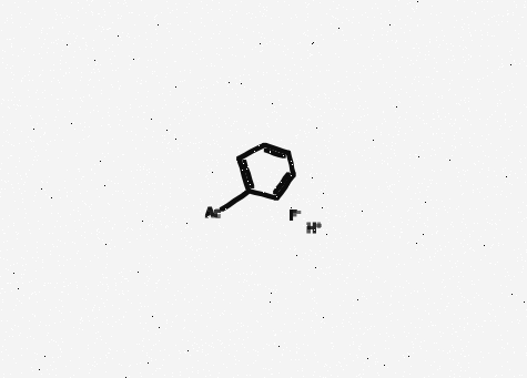 CC(=O)c1ccccc1.[F-].[H+]